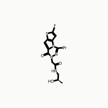 CC(C)c1nn(CC(=O)NC[C@@H](C)O)c(=O)c2cc3sc(F)cc3n12